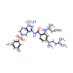 CCOC(=O)n1nc(NC(=O)c2ccc(N(C)CCN(C)C)cc2N[C@@H](C)COC)c2c1CCN(S(=O)(=O)c1cc(F)cc(F)c1)C2